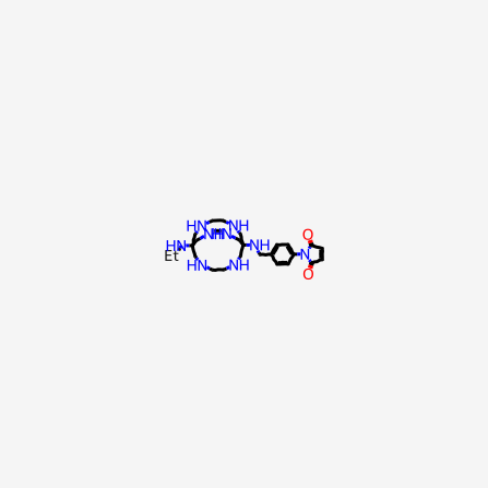 CCNC12CNCCNCC(NCc3ccc(N4C(=O)C=CC4=O)cc3)(CNCCNC1)CNCCNC2